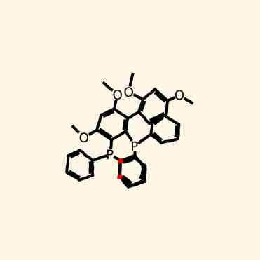 COc1ccc(-c2c(OC)cc(OC)c(P(c3ccccc3)c3ccccc3)c2P(c2ccccc2)c2ccccc2)c(OC)c1